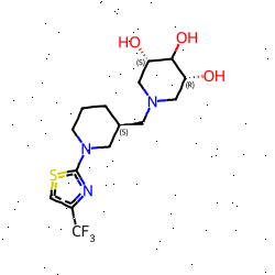 OC1[C@H](O)CN(C[C@@H]2CCCN(c3nc(C(F)(F)F)cs3)C2)C[C@@H]1O